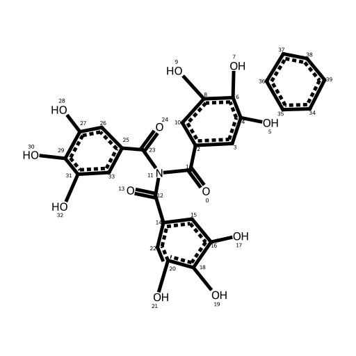 O=C(c1cc(O)c(O)c(O)c1)N(C(=O)c1cc(O)c(O)c(O)c1)C(=O)c1cc(O)c(O)c(O)c1.c1ccccc1